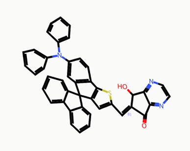 O=C1/C(=C/c2cc3c(s2)-c2ccc(N(c4ccccc4)c4ccccc4)cc2C32c3ccccc3-c3ccccc32)C(O)c2nccnc21